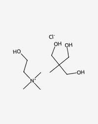 CC(CO)(CO)CO.C[N+](C)(C)CCO.[Cl-]